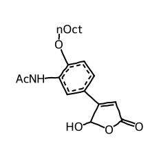 CCCCCCCCOc1ccc(C2=CC(=O)OC2O)cc1NC(C)=O